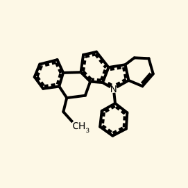 CCC1Cc2c(ccc3c4c(n(-c5ccccc5)c23)C=CCC4)-c2ccccc21